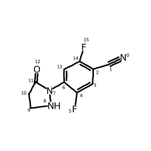 N#Cc1cc(F)c(N2NCCC2=O)cc1F